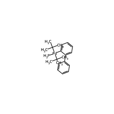 C[C](C)(C)[Pd]([PH2])([c]1ccccc1-c1ccccc1)[C](C)(C)C